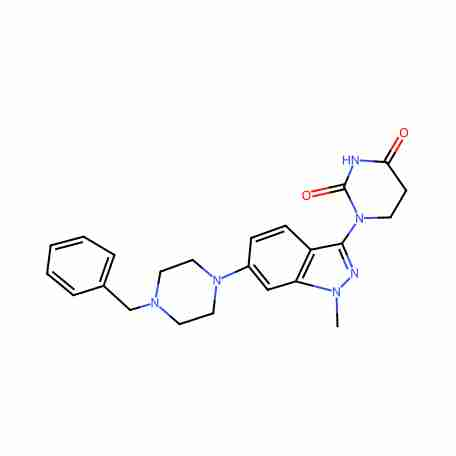 Cn1nc(N2CCC(=O)NC2=O)c2ccc(N3CCN(Cc4ccccc4)CC3)cc21